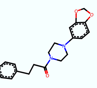 O=C(CCc1ccccc1)N1CCN(c2ccc3c(c2)OCO3)CC1